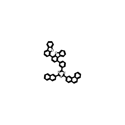 c1cc(-c2nc(-c3ccc4ccccc4c3)nc(-c3ccc4ccc5ccccc5c4c3)n2)cc(-c2ccc(-c3cccc4c3oc3ccccc34)c3oc4ccccc4c23)c1